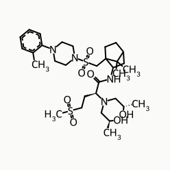 Cc1ccccc1N1CCN(S(=O)(=O)CC23CCC(CC2NC(=O)[C@H](CCS(C)(=O)=O)N(C[C@H](C)O)C[C@H](C)O)C3(C)C)CC1